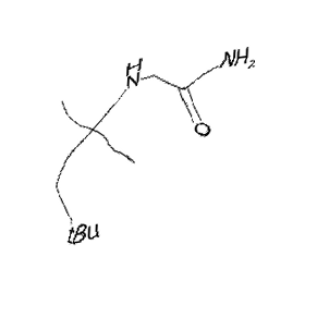 CC(C)(C)CC(C)(C)NC(N)=O